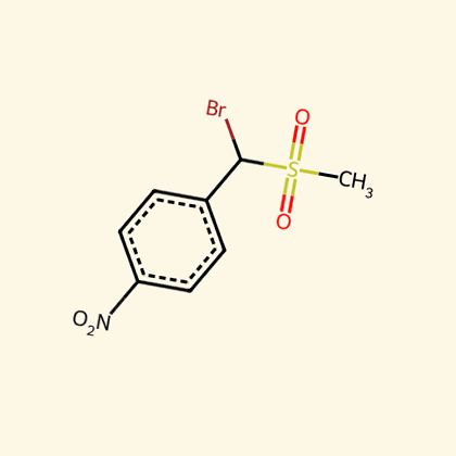 CS(=O)(=O)C(Br)c1ccc([N+](=O)[O-])cc1